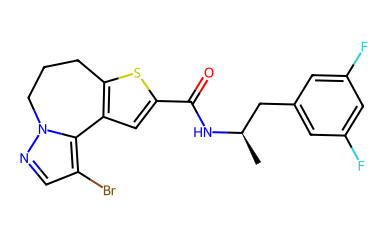 C[C@H](Cc1cc(F)cc(F)c1)NC(=O)c1cc2c(s1)CCCn1ncc(Br)c1-2